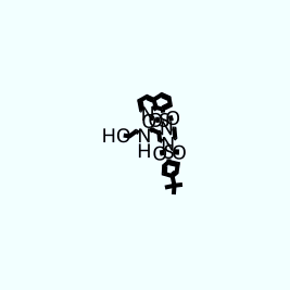 CC(C)(C)c1ccc(S(=O)(=O)N2CCN(S(=O)(=O)c3cccc4cccnc34)C(C(=O)NCCO)C2)cc1